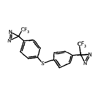 FC(F)(F)C1(c2ccc(Sc3ccc(C4(C(F)(F)F)N=N4)cc3)cc2)N=N1